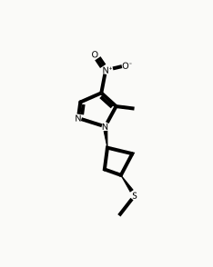 CS[C@H]1C[C@@H](n2ncc([N+](=O)[O-])c2C)C1